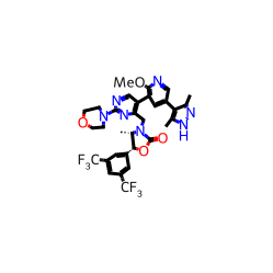 COc1ncc(-c2c(C)n[nH]c2C)cc1-c1cnc(N2CCOCC2)nc1CN1C(=O)O[C@H](c2cc(C(F)(F)F)cc(C(F)(F)F)c2)[C@@H]1C